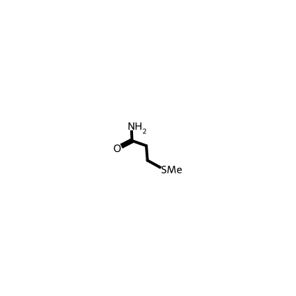 CSCCC(N)=O